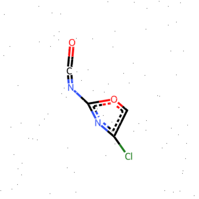 O=C=Nc1nc(Cl)co1